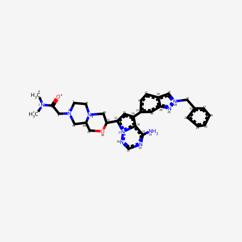 CN(C)C(=O)CN1CCN2CC(c3cc(-c4ccc5cn(Cc6ccccc6)nc5c4)c4c(N)ncnn34)OCC2C1